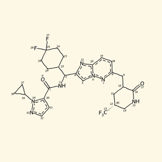 O=C(NC(c1cn2nc(CC3C[C@@H](C(F)(F)F)CNC3=O)ccc2n1)C1CCC(F)(F)CC1)c1ccnn1C1CC1